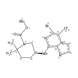 CC(C)(C)OC(=O)N1C[C@@H](Nc2nc(Br)c(C(F)(F)F)n3ccnc23)CCC1(C)C